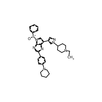 CCN1CCC(n2cc(-c3cn([S+]([O-])c4ccccc4)c4ncc(-c5ccc(N6CCCCC6)cc5)nc34)cn2)CC1